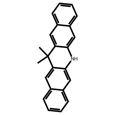 CC1(C)c2cc3ccccc3cc2Nc2cc3ccccc3cc21